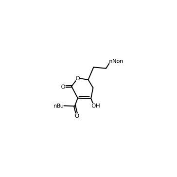 CCCCCCCCCCCC1CC(O)=C(C(=O)CCCC)C(=O)O1